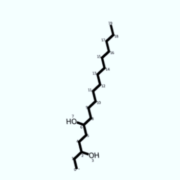 [CH2]CC(O)CCC(O)CCCCCCCCCCCC